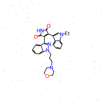 CCn1cc(C2=C(c3nn(CCCN4CCOCC4)c4ccccc34)C(=O)NC2=O)c2ccccc21